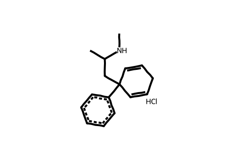 CNC(C)CC1(c2ccccc2)C=CCC=C1.Cl